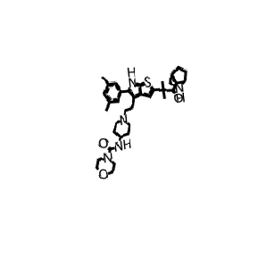 Cc1cc(C)cc(-c2[nH]c3sc(C(C)(C)C(=O)C4C5CCC4NC5)cc3c2CCN2CCC(NC(=O)N3CCOCC3)CC2)c1